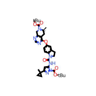 C[C@H]1Cc2c(ncnc2Oc2ccc3c(c2)CCN3C(=O)Nc2cc(C3(C)CC3)nn2C(=O)OC(C)(C)C)CN1C(=O)OC(C)(C)C